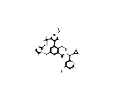 CCn1cc(-c2cc(Cn3ccnc3C)cc3c2CCN(C(c2cc(OC)ccn2)C2CC2)C3=O)c(C(F)(F)F)n1